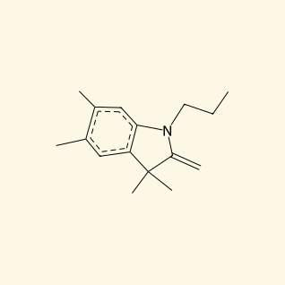 C=C1N(CCC)c2cc(C)c(C)cc2C1(C)C